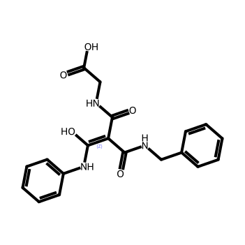 O=C(O)CNC(=O)/C(C(=O)NCc1ccccc1)=C(\O)Nc1ccccc1